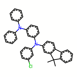 CC1(C)c2ccccc2-c2ccc(N(c3cccc(Cl)c3)c3cccc(N(c4ccccc4)c4ccccc4)c3)cc21